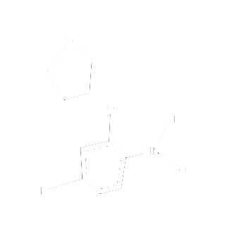 [O-][NH+](O)c1ccc(F)cc1O[C@@H]1CCOC1